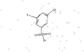 CC(C)S(=O)(=O)c1cc(F)cc(C(F)(F)F)c1